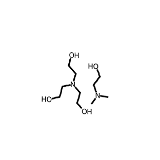 CN(C)CCO.OCCN(CCO)CCO